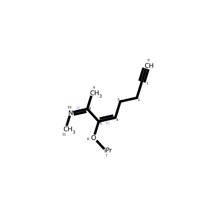 C#CCC/C=C(OC(C)C)\C(C)=N/C